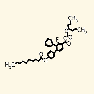 CCCCCCCCCC(=O)Oc1ccc(-c2ccc(C(=O)OC(=O)OC(CCC)CCC)c(F)c2-c2ccccc2)cc1